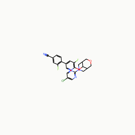 N#Cc1ccc(-c2cnc(OC3C4COCC3CN(c3ncc(Cl)cn3)C4)c(F)c2)c(F)c1